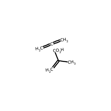 C=C(C)C(=O)O.C=C=C